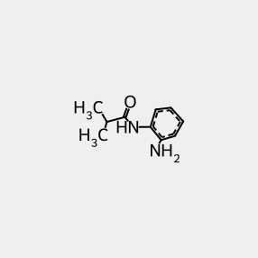 CC(C)C(=O)Nc1ccccc1N